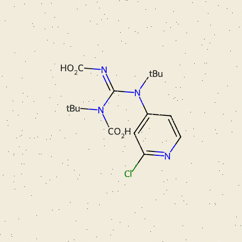 CC(C)(C)N(C(=O)O)C(=NC(=O)O)N(c1ccnc(Cl)c1)C(C)(C)C